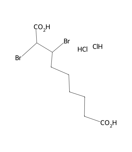 Cl.Cl.O=C(O)CCCCCC(Br)C(Br)C(=O)O